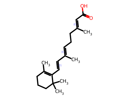 CC1=C(/C=C/C(C)=C/CC/C(C)=C/C(=O)O)C(C)(C)CCC1